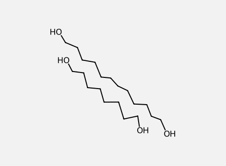 OCCCCCCCCCCCCO.OCCCCCCCCO